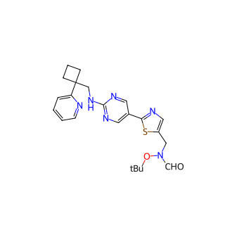 CC(C)(C)ON(C=O)Cc1cnc(-c2cnc(NCC3(c4ccccn4)CCC3)nc2)s1